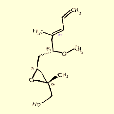 C=C/C=C(\C)[C@@H](C[C@@H]1O[C@@]1(C)CO)OC